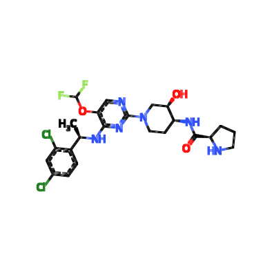 C[C@@H](Nc1nc(N2CC[C@H](NC(=O)[C@H]3CCCN3)[C@H](O)C2)ncc1OC(F)F)c1ccc(Cl)cc1Cl